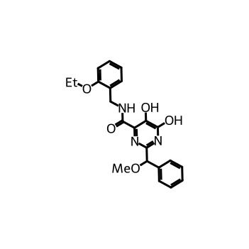 CCOc1ccccc1CNC(=O)c1nc(C(OC)c2ccccc2)nc(O)c1O